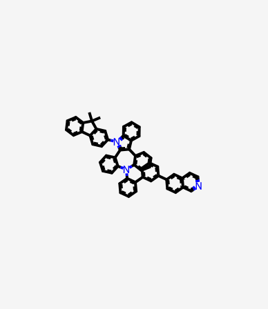 CC1(C)c2ccccc2-c2ccc(-n3c4c(c5ccccc53)-c3ccccc3N(c3ccccc3-c3cccc(-c5ccc6cnccc6c5)c3)c3ccccc3-4)cc21